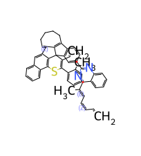 C=C/C=C\C=C(/C)c1nc(-c2ccc3c(c2)C24C(C=C)=C(c5ccccc5C)Sc5c2c(cc2ccccc52)/C2=C\CCCCC3=C24)nc2ccccc12